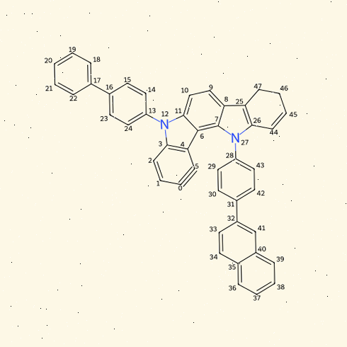 c1ccc2c(c#1)c1c3c(ccc1n2-c1ccc(-c2ccccc2)cc1)c1c(n3-c2ccc(-c3ccc4ccccc4c3)cc2)C=CCC1